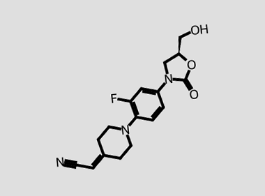 N#CC=C1CCN(c2ccc(N3C[C@@H](CO)OC3=O)cc2F)CC1